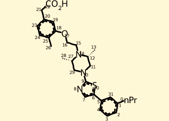 CCCc1cccc(-c2cnc(N3C[C@@H](C)N(CCOc4cc(CC(=O)O)ccc4C)[C@@H](C)C3)s2)c1